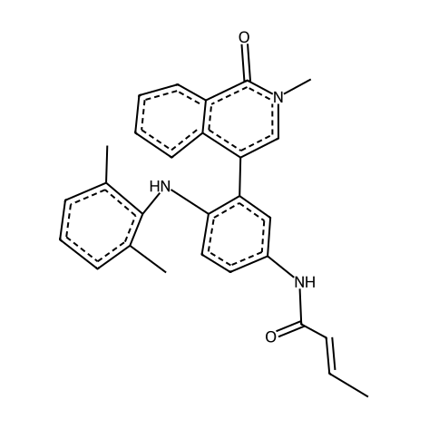 C/C=C/C(=O)Nc1ccc(Nc2c(C)cccc2C)c(-c2cn(C)c(=O)c3ccccc23)c1